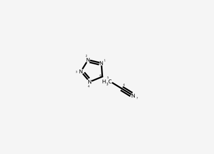 C1N=NN=N1.CC#N